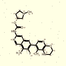 Cc1c(-c2cc3cc(NC(=O)O[C@@H]4CCN(C)C4)ncc3c(N)c2F)cnc2c1NCCO2